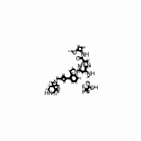 CNc1cc(N2CCc3c2cccc3C23CC(CN4CC5(CCNCC5(F)F)C4)(C2)C3)nn2c(C(=O)N[C@@H]3CC[C@H]3OC)cnc12.O=C(O)C(F)(F)F